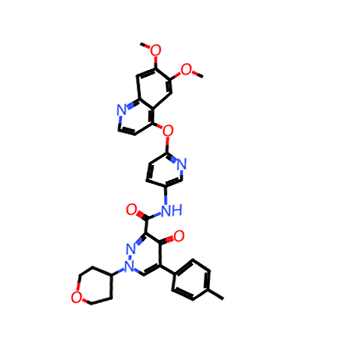 COc1cc2nccc(Oc3ccc(NC(=O)c4nn(C5CCOCC5)cc(-c5ccc(C)cc5)c4=O)cn3)c2cc1OC